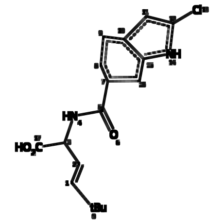 CC(C)(C)/C=C/C(NC(=O)c1ccc2cc(Cl)[nH]c2c1)C(=O)O